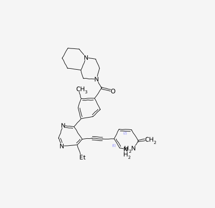 C=C(N)/C=C\C(C#Cc1c(CC)ncnc1-c1ccc(C(=O)N2CCN3CCCCC3C2)c(C)c1)=C/N